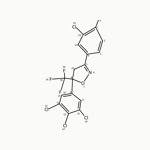 Cc1ccc(C2=NOC(c3cc(Cl)c(Cl)c(Cl)c3)(C(F)(F)F)C2)cc1Cl